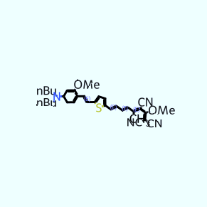 CCCCN(CCCC)C1C=C(OC)C(/C=C/c2ccc(/C=C/C=C/C(C)=C(\C#N)C(OC)=C(C#N)C#N)s2)=CC1